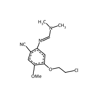 COc1cc(C#N)c(N=CN(C)C)cc1OCCCl